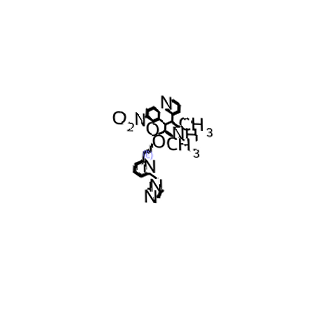 CC1=C(C(=O)OC/C=C/c2cccc(Cn3ccnc3)n2)C(c2cccc([N+](=O)[O-])c2)C(c2cccnc2)=C(C)N1